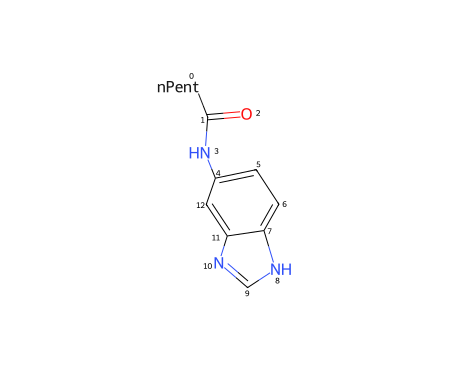 CCCCCC(=O)Nc1ccc2[nH]cnc2c1